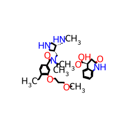 CCc1ccc(C(=O)N(C[C@@H]2CNC[C@@H]2CNC)C(C)C)cc1OCCCOC.O=C1C[C@H](C(=O)O)c2ccccc2N1